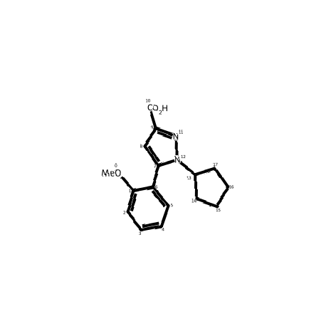 COc1ccccc1-c1cc(C(=O)O)nn1C1CCCC1